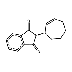 O=C1c2ccccc2C(=O)N1[C@H]1C=CCCCC1